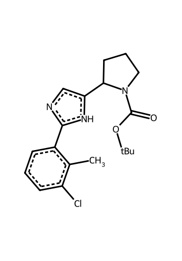 Cc1c(Cl)cccc1-c1ncc(C2CCCN2C(=O)OC(C)(C)C)[nH]1